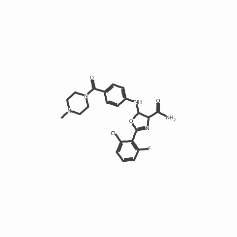 CN1CCN(C(=O)c2ccc(NC3OC(c4c(F)cccc4Cl)=NC3C(N)=O)cc2)CC1